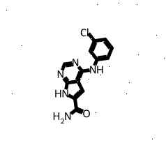 NC(=O)c1cc2c(Nc3cccc(Cl)c3)ncnc2[nH]1